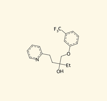 CCC(O)(CCc1ccccn1)COc1cccc(C(F)(F)F)c1